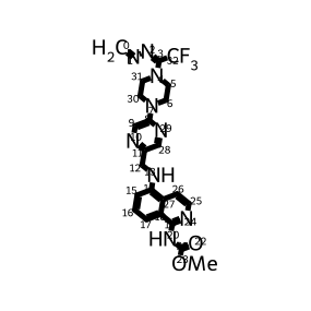 C=N/N=C(\N1CCN(c2cnc(CNc3cccc4c(NC(=O)OC)nccc34)cn2)CC1)C(F)(F)F